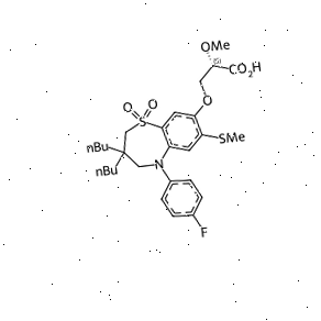 CCCCC1(CCCC)CN(c2ccc(F)cc2)c2cc(SC)c(OC[C@H](OC)C(=O)O)cc2S(=O)(=O)C1